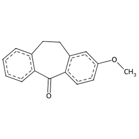 COc1ccc2c(c1)CCc1ccccc1C2=O